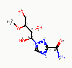 CO[C@@H](CO)[C@H](O)[C@H](O)n1cnc(C(N)=O)n1